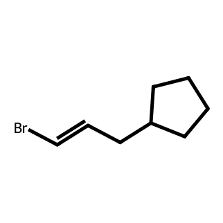 BrC=CCC1CCCC1